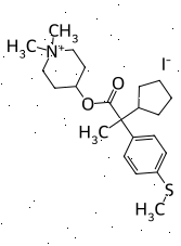 CSc1ccc(C(C)(C(=O)OC2CC[N+](C)(C)CC2)C2CCCC2)cc1.[I-]